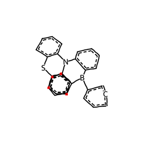 c1ccc(B(c2ccccc2)c2ccccc2N2c3ccccc3Sc3ccccc32)cc1